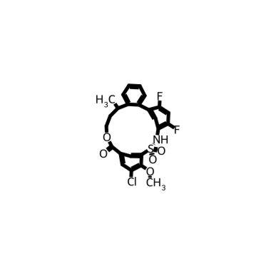 COc1c(Cl)cc2cc1S(=O)(=O)Nc1cc(c(F)cc1F)-c1ccccc1C(C)CCOC2=O